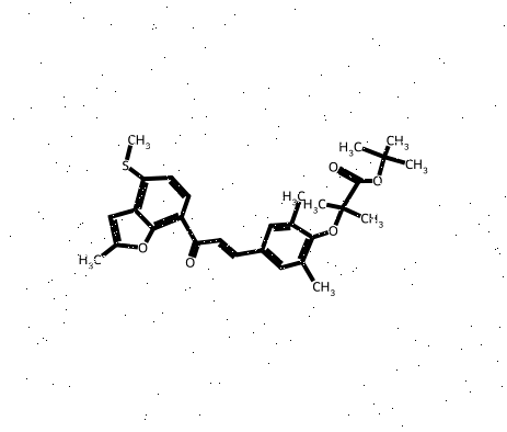 CSc1ccc(C(=O)/C=C/c2cc(C)c(OC(C)(C)C(=O)OC(C)(C)C)c(C)c2)c2oc(C)cc12